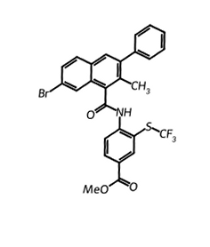 COC(=O)c1ccc(NC(=O)c2c(C)c(-c3ccccc3)cc3ccc(Br)cc23)c(SC(F)(F)F)c1